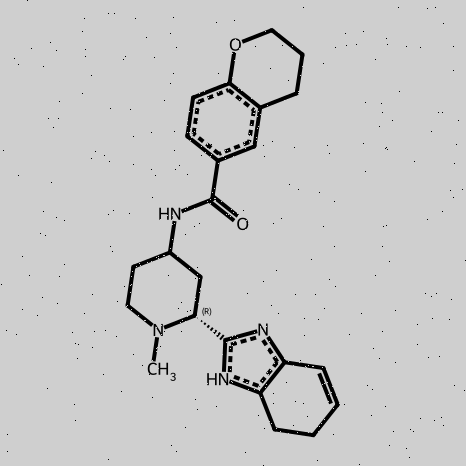 CN1CCC(NC(=O)c2ccc3c(c2)CCCO3)C[C@@H]1c1nc2c([nH]1)CCC=C2